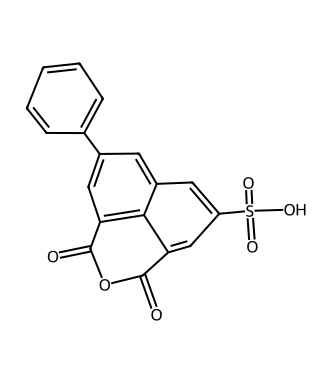 O=C1OC(=O)c2cc(S(=O)(=O)O)cc3cc(-c4ccccc4)cc1c23